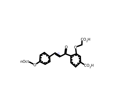 CCCCCCCCOc1ccc(/C=C/C(=O)c2ccc(C(=O)O)cc2OCC(=O)O)cc1